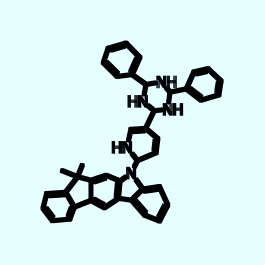 CC1(C)c2ccccc2-c2cc3c4ccccc4n(C4C=CC(C5NC(c6ccccc6)NC(c6ccccc6)N5)=CN4)c3cc21